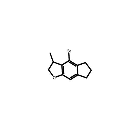 CC1COc2cc3c(c(Br)c21)CCC3